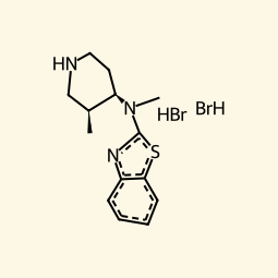 Br.Br.C[C@H]1CNCC[C@H]1N(C)c1nc2ccccc2s1